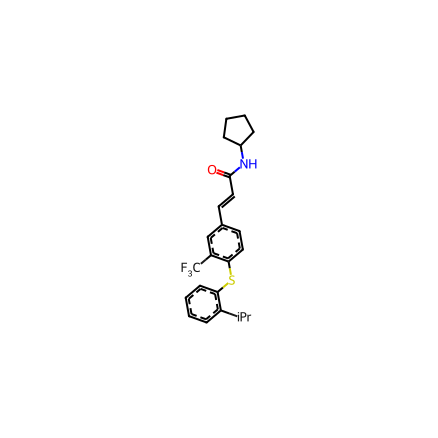 CC(C)c1ccccc1Sc1ccc(/C=C/C(=O)NC2CCCC2)cc1C(F)(F)F